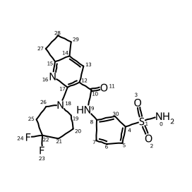 NS(=O)(=O)c1cccc(NC(=O)c2cc3c(nc2N2CCCC(F)(F)CC2)CCC3)c1